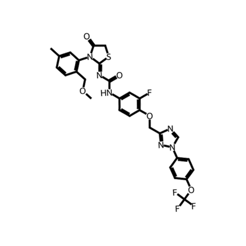 COCc1ccc(C)cc1N1C(=O)CSC1=NC(=O)Nc1ccc(OCc2ncn(-c3ccc(OC(F)(F)F)cc3)n2)c(F)c1